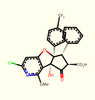 COc1nc(Cl)cc2c1[C@]1(O)C(=O)[C@H](C(=O)O)[C@@H](c3ccccc3)[C@]1(c1ccc(C(F)(F)F)cc1)O2